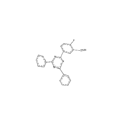 N#Cc1cc(-c2nc(-c3ccccc3)nc(-c3ccccc3)n2)ccc1F